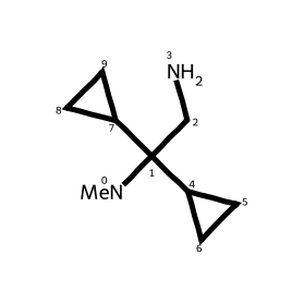 CNC(CN)(C1CC1)C1CC1